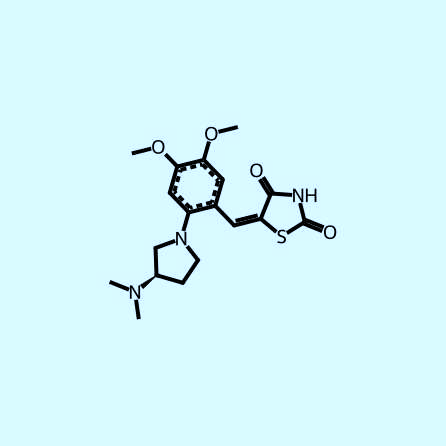 COc1cc(C=C2SC(=O)NC2=O)c(N2CC[C@@H](N(C)C)C2)cc1OC